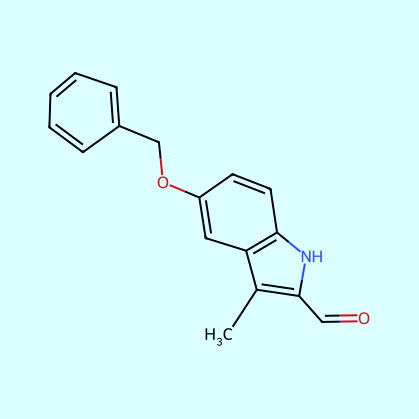 Cc1c(C=O)[nH]c2ccc(OCc3ccccc3)cc12